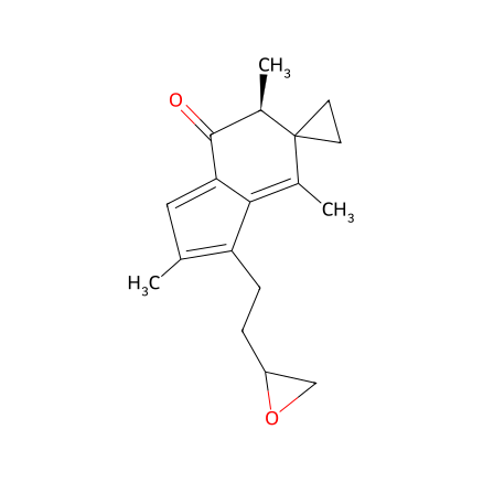 CC1=C(CCC2CO2)C2=C(C)C3(CC3)[C@H](C)C(=O)C2=C1